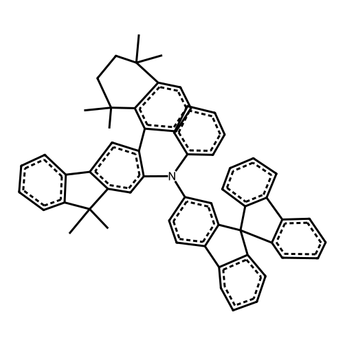 CC1(C)CCC(C)(C)c2c(-c3cc4c(cc3N(c3ccccc3)c3ccc5c(c3)C3(c6ccccc6-c6ccccc63)c3ccccc3-5)C(C)(C)c3ccccc3-4)cccc21